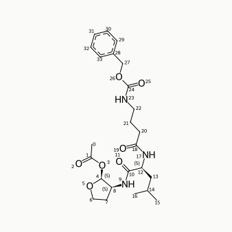 CC(=O)O[C@@H]1OCC[C@@H]1NC(=O)[C@H](CC(C)C)NC(=O)CCCNC(=O)OCc1ccccc1